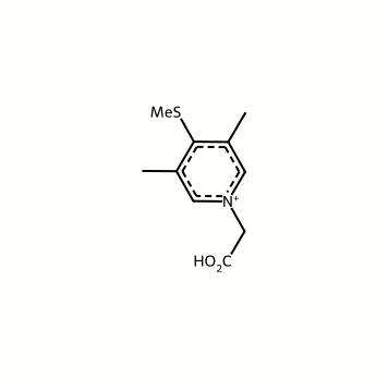 [CH2]Sc1c(C)c[n+](CC(=O)O)cc1C